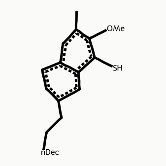 CCCCCCCCCCCCc1ccc2cc(C)c(OC)c(S)c2c1